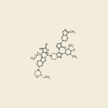 CC[C@H]1CN(c2ccc3c(c2)cc(C(=O)N2CCc4nn(-c5cc(C)c(F)c(C)c5)c(-n5ccn(-c6ccc7c(cnn7C)c6)c5=O)c4C2)n3[C@@]2(c3noc(=O)[nH]3)C[C@@H]2C)CCO1